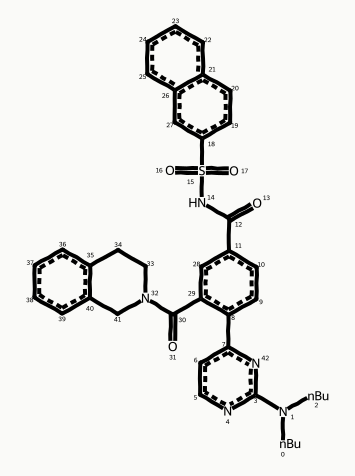 CCCCN(CCCC)c1nccc(-c2ccc(C(=O)NS(=O)(=O)c3ccc4ccccc4c3)cc2C(=O)N2CCc3ccccc3C2)n1